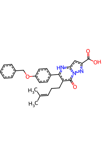 CC(C)=CCCc1c(-c2ccc(OCc3ccccc3)cc2)[nH]c2cc(C(=O)O)nn2c1=O